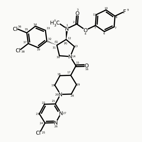 CN(C(=O)Oc1ccc(F)cc1)[C@H]1CN(C(=O)C2CCN(c3ccc(Cl)nn3)CC2)C[C@@H]1c1ccc(Cl)c(Cl)c1